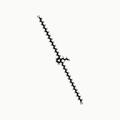 [CH2]CCCc1c(CCCCCCCCCCCCCCCCCCCCCCCC)cccc1CCCCCCCCCCCCCCCCCCCCCCCC